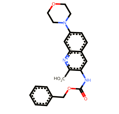 O=C(Nc1cc2ccc(N3CCOCC3)cc2nc1C(=O)O)OCc1ccccc1